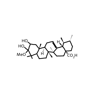 COC1(O)C(O)C[C@@]2(C)C(CC[C@]3(C)[C@@H]2CC=C2[C@@H]4[C@@H](C)[C@H](C)CC[C@]4(C(=O)O)CC[C@]23C)C1(C)C